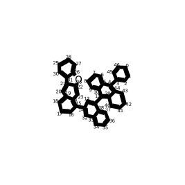 c1ccc(-c2c3ccccc3c(-c3cc(-c4cccc5cc6c(cc45)oc4ccccc46)cc4ccccc34)c3ccccc23)cc1